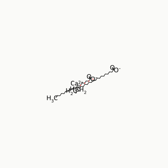 C=C.CCCCCCCCCCCCCCCCCC(=O)[O-].CCCCCCCCCCCCCCCCCC(=O)[O-].[Ca+2]